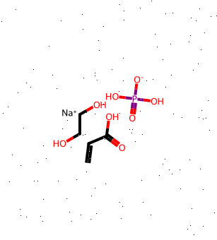 C=CC(=O)O.O=P([O-])(O)O.OCCO.[Na+]